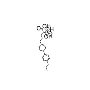 CCCc1ccc(-c2ccc(CCCC(C(=O)O)P(=O)(O)O)cc2)cc1